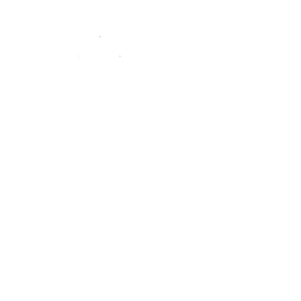 FC(F)(F)C(F)(F)CCCSCCOCC1CO1